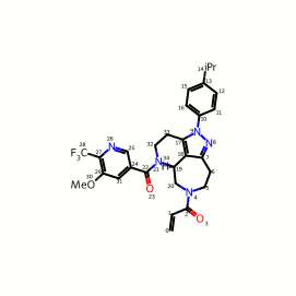 C=CC(=O)N1CCc2nn(-c3ccc(C(C)C)cc3)c3c2[C@H](C1)N(C(=O)c1cnc(C(F)(F)F)c(OC)c1)CC3